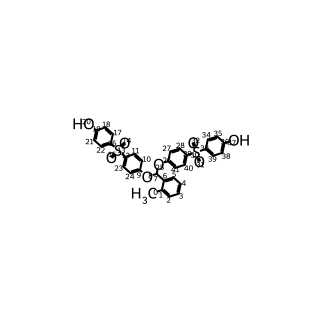 Cc1ccccc1C(Oc1ccc(S(=O)(=O)c2ccc(O)cc2)cc1)Oc1ccc(S(=O)(=O)c2ccc(O)cc2)cc1